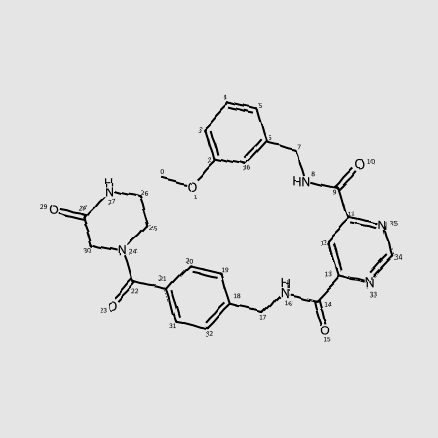 COc1cccc(CNC(=O)c2cc(C(=O)NCc3ccc(C(=O)N4CCNC(=O)C4)cc3)ncn2)c1